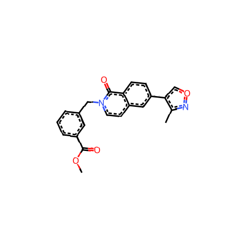 COC(=O)c1cccc(Cn2ccc3cc(-c4conc4C)ccc3c2=O)c1